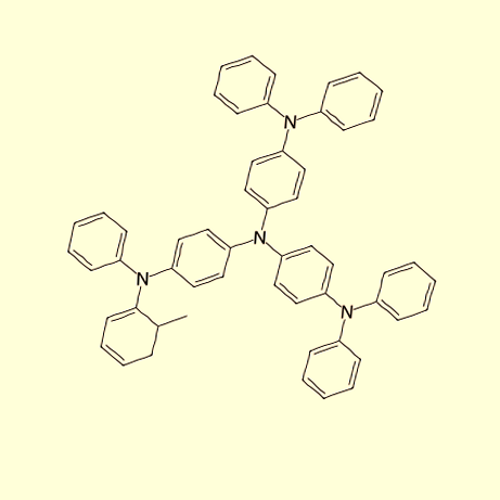 CC1CC=CC=C1N(c1ccccc1)c1ccc(N(c2ccc(N(c3ccccc3)c3ccccc3)cc2)c2ccc(N(c3ccccc3)c3ccccc3)cc2)cc1